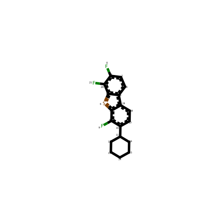 Fc1ccc2c(sc3c(F)c(C4CCCCC4)ccc32)c1F